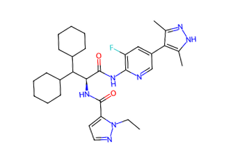 CCn1nccc1C(=O)N[C@H](C(=O)Nc1ncc(-c2c(C)n[nH]c2C)cc1F)C(C1CCCCC1)C1CCCCC1